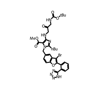 CCCCc1nc(NCC(=O)CNC(=O)OC(C)(C)C)c(C(=O)OC)n1Cc1ccc2oc(-c3ccccc3-c3nnn[nH]3)c(Br)c2c1